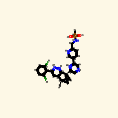 CC1(C)[C@H]2CC[C@]1(c1cncc(-c3ccc(CNS(C)(=O)=O)nc3)n1)c1nnc(-c3c(F)cccc3F)cc12